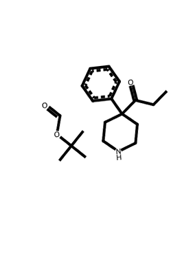 CC(C)(C)OC=O.CCC(=O)C1(c2ccccc2)CCNCC1